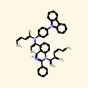 C=C/C=C\C(=C)C(=C)N(/C(=N\N)c1ccccc1)c1cccc(/C(=C\C)N(/C(=C/C=C\C)CC)c2ccc(-n3c4ccccc4c4ccccc43)cc2)c1C=C